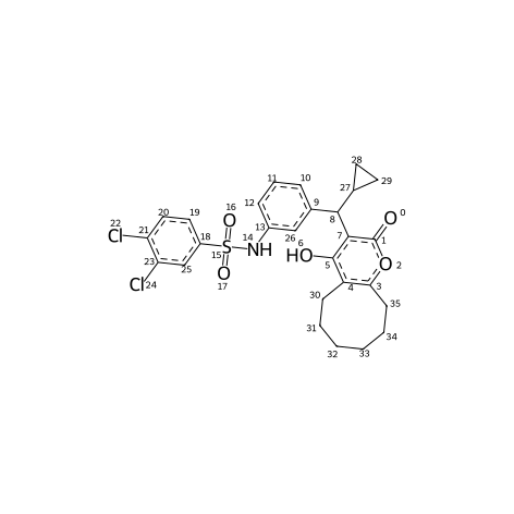 O=c1oc2c(c(O)c1C(c1cccc(NS(=O)(=O)c3ccc(Cl)c(Cl)c3)c1)C1CC1)CCCCCC2